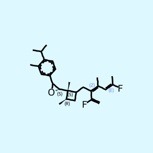 C=C(F)/C(CC1C[C@@H](C)[C@]1(C)[C@@H]1OC1c1ccc(C(C)C)c(C)c1)=C(C)\C=C(/C)F